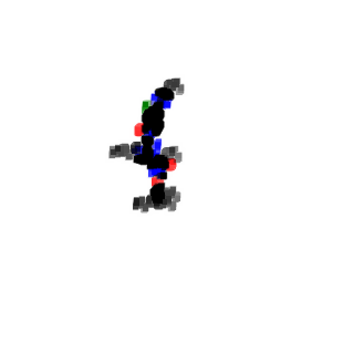 C[Si](C)(C)CCOCn1ncc(N[C@H]2CCN(C(=O)O)[C@@H]2CCn2ccc3cc(-c4ncc(C(F)(F)F)cn4)c(F)cc3c2=O)c(C(F)(F)F)c1=O